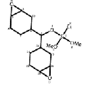 CC[Si](OC)(OC)OC(C1CCC2OC2C1)C1CCC2OC2C1